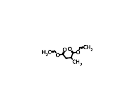 C=COC(=O)CC(C)C(=O)OC=C